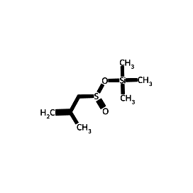 C=C(C)CS(=O)O[Si](C)(C)C